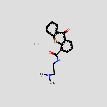 CN(C)CCNC(=O)c1cccc2c(=O)c3ccccc3sc12.Cl